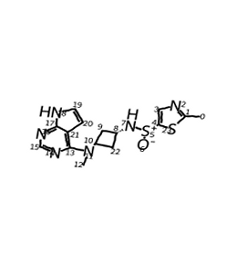 Cc1ncc([S+]([O-])N[C@H]2C[C@@H](N(C)c3ncnc4[nH]ccc34)C2)s1